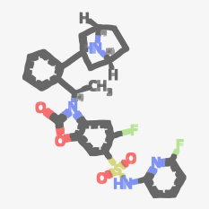 C[C@H](c1ccccc1C1=C[C@@H]2CC[C@H](C1)N2)n1c(=O)oc2cc(S(=O)(=O)Nc3cccc(F)n3)c(F)cc21